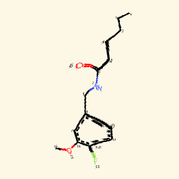 CCCCCC(=O)NCc1ccc(F)c(OC)c1